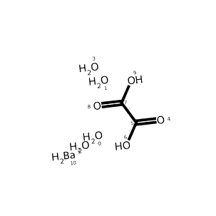 O.O.O.O.O=C(O)C(=O)O.[BaH2]